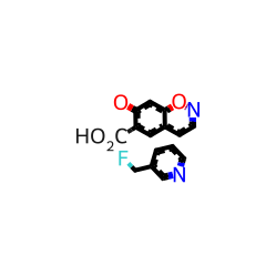 FCc1cccnc1.O=C(O)c1cc2ccnoc-2cc1=O